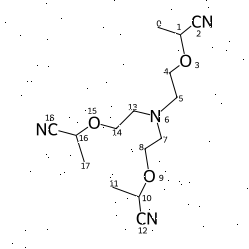 CC(C#N)OCCN(CCOC(C)C#N)CCOC(C)C#N